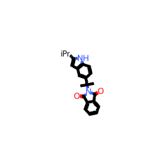 CC(C)c1cc2cc(C(C)(C)N3C(=O)c4ccccc4C3=O)ccc2[nH]1